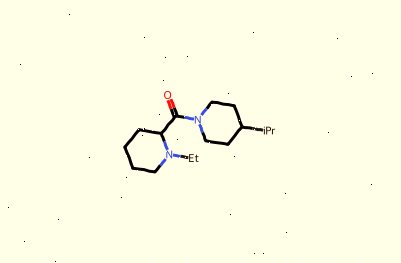 CCN1CCCCC1C(=O)N1CCC(C(C)C)CC1